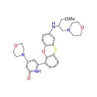 COCC(CN1CCOCC1)Nc1ccc2c(c1)Sc1cccc(-c3cc(N4CCOCC4)cc(=O)[nH]3)c1O2